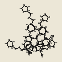 O=C(c1c(-c2ccc(OCCN3CCCC3)cc2)sc2ccc(O)c(-c3ccc(CN4CCCC4)c(Br)c3)c12)c1c(-c2ccc(OCCN3CCCC3)cc2)sc2ccc(O)c(-c3ccc(CN4CCCC4)c(Br)c3)c12